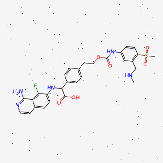 CNCc1cc(NC(=O)OCCc2ccc(C(Nc3ccc4ccnc(N)c4c3F)C(=O)O)cc2)ccc1S(C)(=O)=O